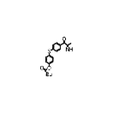 CCC(C)C(=O)Oc1ccc(Sc2ccc(C(=O)C(C)=N)cc2)cc1